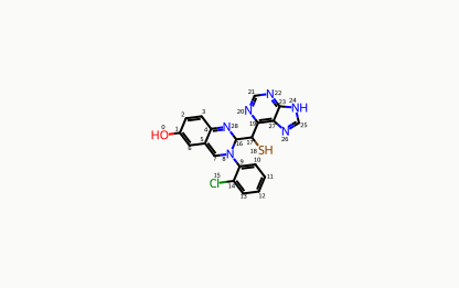 Oc1ccc2c(c1)=CN(c1ccccc1Cl)C(C(S)c1ncnc3[nH]cnc13)N=2